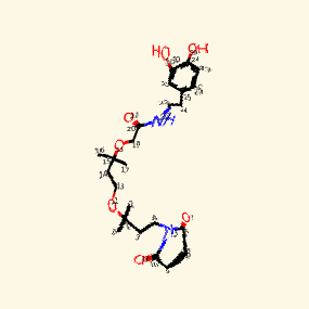 CC(C)(CCN1C(=O)C=CC1=O)OCCC(C)(C)OCC(=O)NCCc1ccc(O)c(O)c1